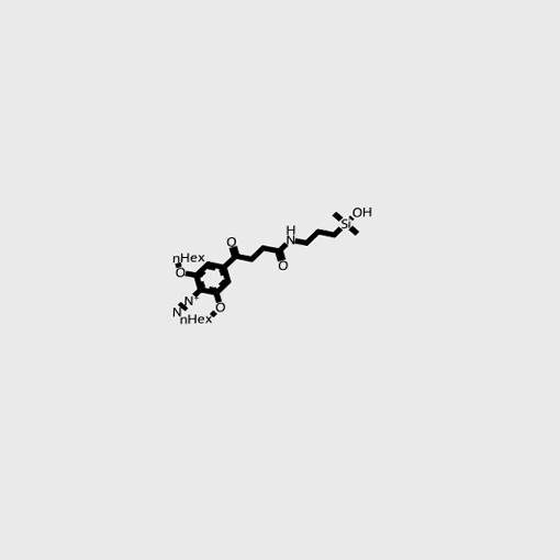 CCCCCCOc1cc(C(=O)CCC(=O)NCCC[Si](C)(C)O)cc(OCCCCCC)c1[N+]#N